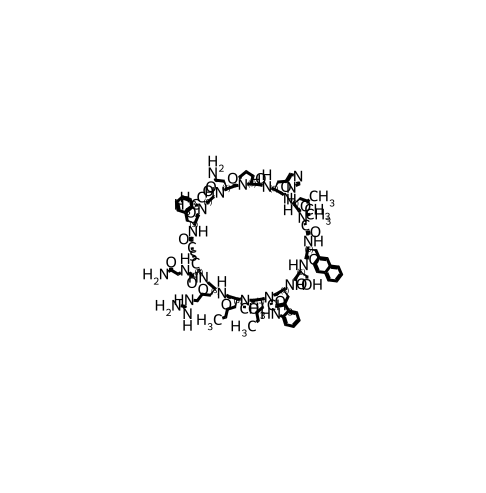 CCCC[C@H]1C(=O)N(C)[C@@H](CCCC)C(=O)N[C@@H](CCCNC(=N)N)C(=O)N[C@H](C(=O)NCC(N)=O)CSCC(=O)N[C@@H](Cc2ccccc2)C(=O)N(C)[C@@H](C)C(=O)N[C@@H](CC(N)=O)C(=O)N2CCC[C@H]2C(=O)N[C@@H](Cc2cnc[nH]2)C(=O)N[C@@H](CC(C)C)C(=O)N(C)CC(=O)N[C@@H](Cc2ccc3ccccc3c2)C(=O)N[C@@H](CO)C(=O)N[C@@H](Cc2c[nH]c3ccccc23)C(=O)N1C